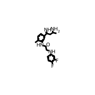 Cc1ccc(C(=N)CC(C)N)cc1NC(=O)CNc1ccc(F)c(F)c1